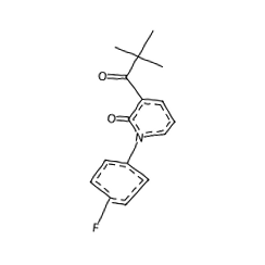 CC(C)(C)C(=O)c1cccn(-c2ccc(F)cc2)c1=O